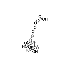 COC1OC(C(=O)OCCOCCOCCOCCOc2ccc(C(=O)C(C)(C)O)cc2)[C@@H](O[C@@H]2OC(CO)C(O)CC2NC(C)=O)C(O)C1O